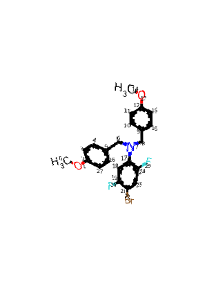 COc1ccc(CN(Cc2ccc(OC)cc2)c2cc(F)c(Br)cc2F)cc1